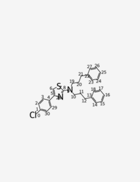 Clc1ccc(-c2csc(N(CCCc3ccccc3)CCCc3ccccc3)n2)cc1